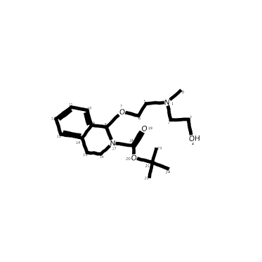 CN(CCO)CCOC1c2ccccc2CCN1C(=O)OC(C)(C)C